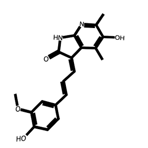 COc1cc(C=CC=C2C(=O)Nc3nc(C)c(O)c(C)c32)ccc1O